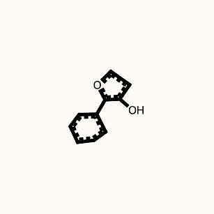 Oc1ccoc1-c1ccccc1